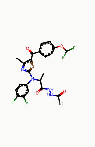 CCC(=O)NNC(=O)C(C)N(c1ccc(F)c(F)c1)c1nc(C)c(C(=O)c2ccc(OC(F)F)cc2)s1